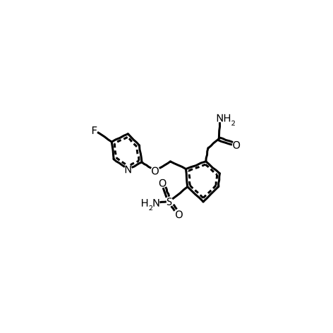 NC(=O)Cc1cccc(S(N)(=O)=O)c1COc1ccc(F)cn1